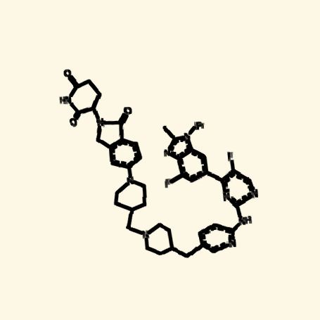 Cc1nc2c(F)cc(-c3nc(Nc4ccc(CC5CCN(CC6CCN(c7ccc8c(c7)CN(C7CCC(=O)NC7=O)C8=O)CC6)CC5)cn4)ncc3F)cc2n1C(C)C